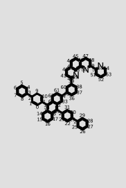 C1=CC(c2ccccc2)CC=C1c1c2ccccc2c(-c2ccc(-c3ccccc3)cc2)c2cc(-c3cccc(-c4ccc5ccc6ccc(-c7ccccn7)nc6c5n4)c3)ccc12